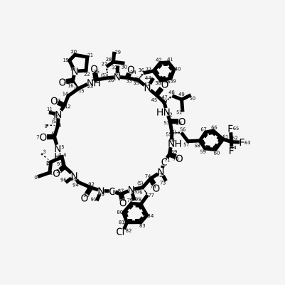 CC[C@H](C)[C@@H]1NC(=O)[C@H](C)N(C)C(=O)C[C@@H](C(=O)N2CCCC2)NC(=O)[C@H](CC(C)C)N(C)C(=O)[C@H](Cc2ccccc2)N(C)C(=O)[C@H](CC(C)C)NC(=O)[C@H](CCc2ccc(C(F)(F)F)cc2)NC(=O)CN(C)C(=O)[C@H](Cc2ccc(Cl)cc2)N(C)C(=O)CN(C)C(=O)CN(C)C1=O